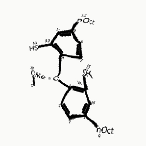 CCCCCCCCc1ccc(Oc2ccc(CCCCCCCC)cc2S)c(S)c1.COC